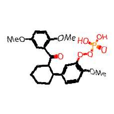 COc1ccc(OC)c(C(=O)C2CCCCC2c2ccc(OC)c(OOP(=O)(O)O)c2)c1